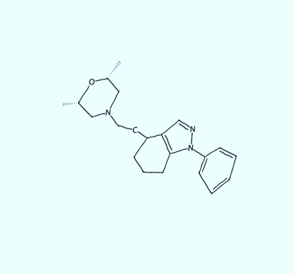 C[C@@H]1CN(CCC2CCCc3c2cnn3-c2ccccc2)C[C@H](C)O1